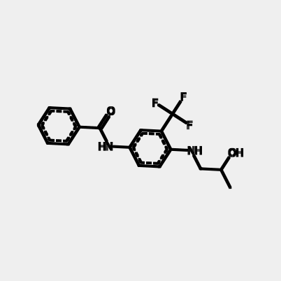 CC(O)CNc1ccc(NC(=O)c2ccccc2)cc1C(F)(F)F